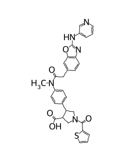 CN(C(=O)Cc1ccc2nc(Nc3cccnc3)oc2c1)c1ccc(C2CN(C(=O)c3cccs3)CC2C(=O)O)cc1